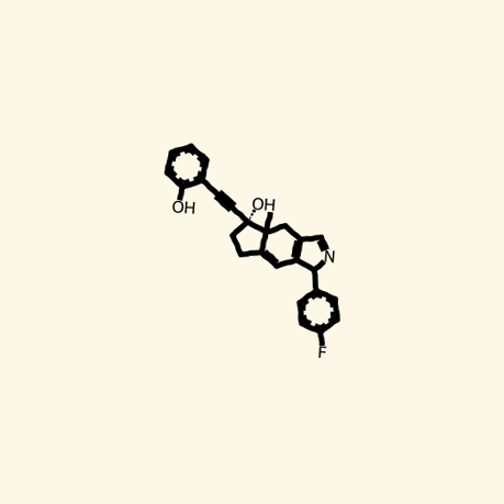 CC12CC3=C(C=C1CC[C@@]2(O)C#Cc1ccccc1O)C(c1ccc(F)cc1)N=C3